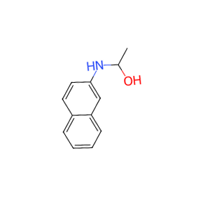 CC(O)Nc1ccc2ccccc2c1